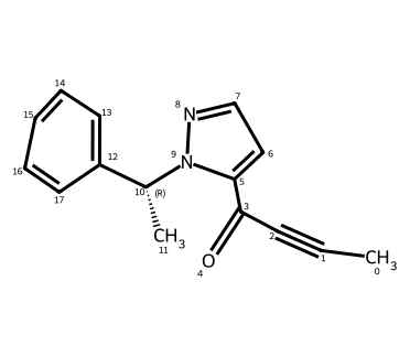 CC#CC(=O)c1ccnn1[C@H](C)c1ccccc1